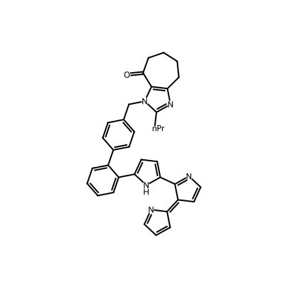 CCCc1nc2c(n1Cc1ccc(-c3ccccc3-c3ccc(C4=NC=CC4=C4C=CC=N4)[nH]3)cc1)C(=O)CCCC2